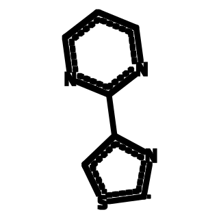 [c]1nc(-c2ncccn2)cs1